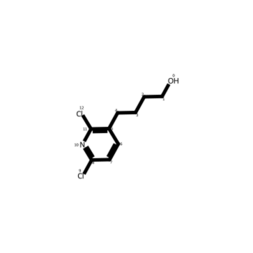 OCCCCc1ccc(Cl)nc1Cl